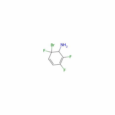 NC1C(F)=C(F)C=CC1(F)Br